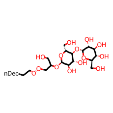 CCCCCCCCCCCCOOCC(CO)O[C@H]1O[C@H](CO)[C@@H](O[C@H]2O[C@H](CO)[C@@H](O)[C@H](O)[C@H]2O)[C@H](O)[C@H]1O